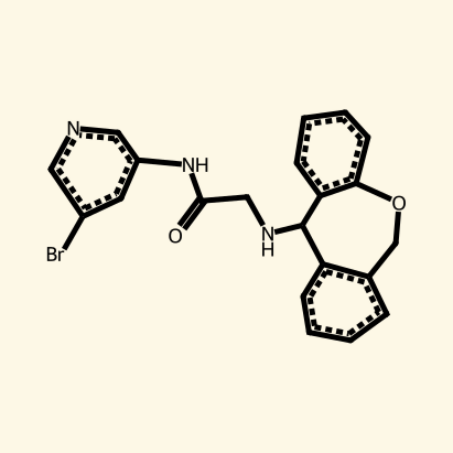 O=C(CNC1c2ccccc2COc2ccccc21)Nc1cncc(Br)c1